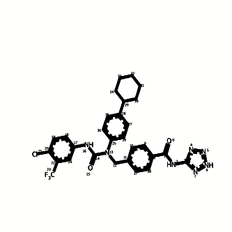 O=C(Nc1nn[nH]n1)c1ccc(CN(C(=O)Nc2ccc(Cl)c(C(F)(F)F)c2)c2ccc(C3CCCCC3)cc2)cc1